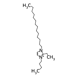 CCCCCCCCCCCCCCn1cc[n+](CCCC)c1CC